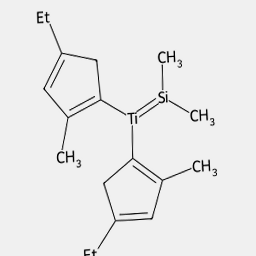 CCC1=CC(C)=[C]([Ti]([C]2=C(C)C=C(CC)C2)=[Si](C)C)C1